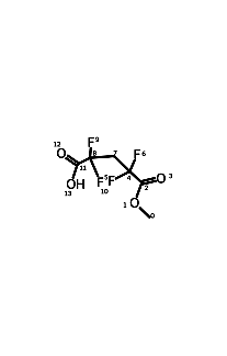 COC(=O)C(F)(F)CC(F)(F)C(=O)O